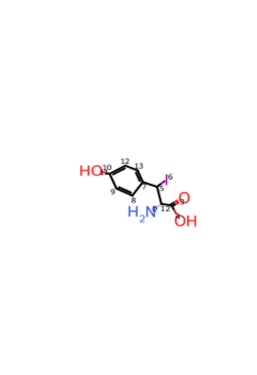 N[C@@H](C(=O)O)C(I)c1ccc(O)cc1